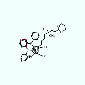 CC(C)[C]12[C]3(CCCCC(C)(C)CCC4OCCCO4)[C]4(P(c5ccccc5)c5ccccc5)[C]5(P(c6ccccc6)c6ccccc6)[C]1(C(C)C)[Fe]32451678[CH]2[CH]1[CH]6[C]7(P)[CH]28